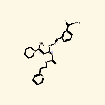 C=C(/N=C(\C=C(/N)N1CCCCC1)N/N=C/c1cccc(C(=O)OC)c1)OCCc1ccccn1